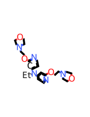 CCN(c1ccnc(OCCN2CCOCC2)c1)c1ccnc(OCCN2CCOCC2)c1